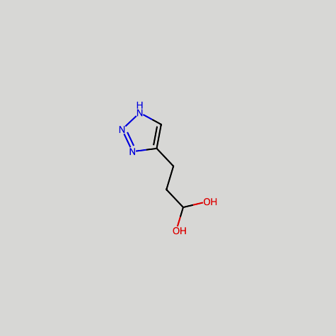 OC(O)CCc1c[nH]nn1